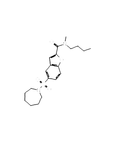 CCCCN(C)C(=O)c1cc2cc(S(=O)(=O)N3CCCCCC3)ccc2o1